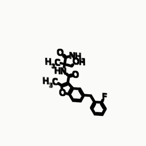 Cc1oc2ccc(Cc3ccccc3F)cc2c1C(=O)N[C@@](C)(CO)C(N)=O